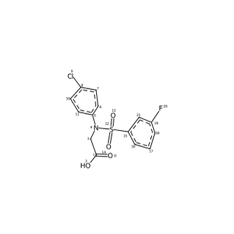 O=C(O)CN(c1ccc(Cl)cc1)S(=O)(=O)c1cccc(F)c1